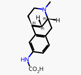 CN1CC[C@]23CCCC[C@H]2[C@H]1Cc1ccc(NC(=O)O)cc13